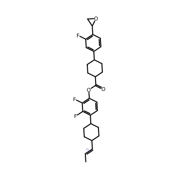 C/C=C/C1CCC(c2ccc(OC(=O)C3CCC(c4ccc(C5CO5)c(F)c4)CC3)c(F)c2F)CC1